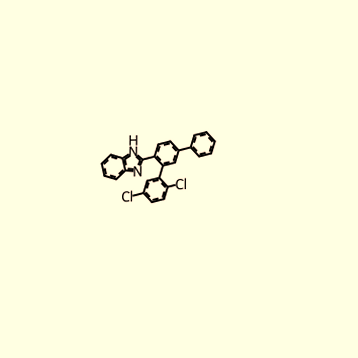 Clc1ccc(Cl)c(-c2cc(-c3ccccc3)ccc2-c2nc3ccccc3[nH]2)c1